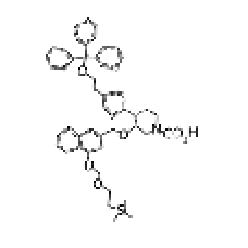 C[Si](C)(C)CCOCOc1cc(COC2CN(C(=O)O)CCC2c2ccc(CCOC(c3ccccc3)(c3ccccc3)c3ccccc3)cc2)cc2ccccc12